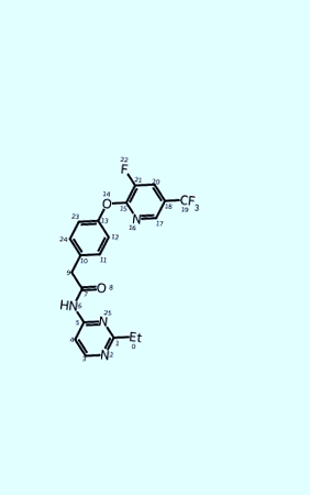 CCc1nccc(NC(=O)Cc2ccc(Oc3ncc(C(F)(F)F)cc3F)cc2)n1